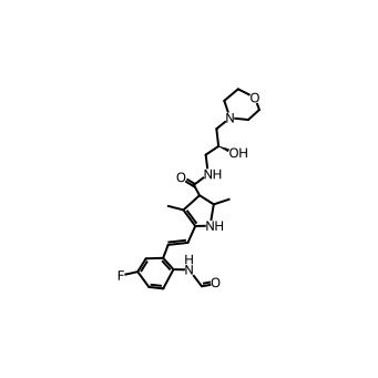 CC1=C(/C=C/c2cc(F)ccc2NC=O)NC(C)C1C(=O)NC[C@H](O)CN1CCOCC1